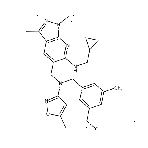 Cc1cc(N(Cc2cc(CF)cc(C(F)(F)F)c2)Cc2cc3c(C)nn(C)c3nc2NCC2CC2)no1